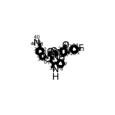 C[C@H](c1c[nH]c2ccccc12)[C@@H](NC(=O)N1CCN(c2ccc(F)cc2)C(=O)C1)C(=O)N1CCc2ccc(CN(C)C)cc21